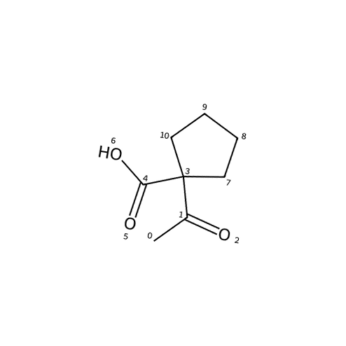 CC(=O)C1(C(=O)O)CCCC1